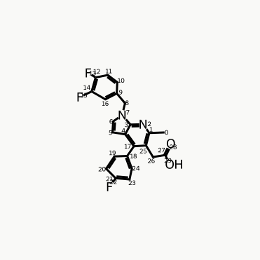 Cc1nc2c(ccn2Cc2ccc(F)c(F)c2)c(-c2ccc(F)cc2)c1CC(=O)O